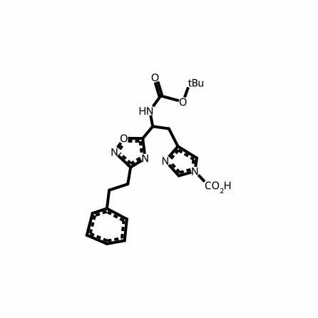 CC(C)(C)OC(=O)NC(Cc1cn(C(=O)O)cn1)c1nc(CCc2ccccc2)no1